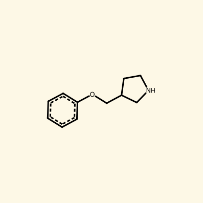 c1ccc(OCC2CCNC2)cc1